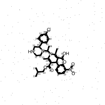 CC1=C(C(=O)O)C(c2cccc([N+](=O)[O-])c2)C(C(=O)OCC(C)C)=C(C)N1C(C)N1CCNCC1c1ccc(Cl)cc1